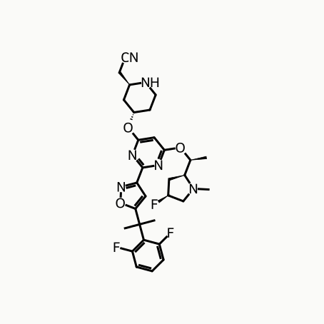 C[C@H](Oc1cc(O[C@H]2CCN[C@H](CC#N)C2)nc(-c2cc(C(C)(C)c3c(F)cccc3F)on2)n1)[C@@H]1C[C@H](F)CN1C